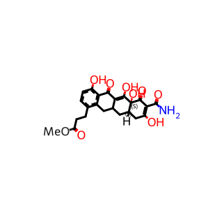 COC(=O)CCc1ccc(O)c2c1CC1C[C@H]3CC(O)=C(C(N)=O)C(=O)[C@@]3(O)C(O)=C1C2=O